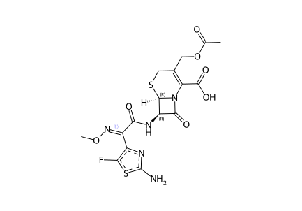 CO/N=C(/C(=O)N[C@@H]1C(=O)N2C(C(=O)O)=C(COC(C)=O)CS[C@H]12)c1nc(N)sc1F